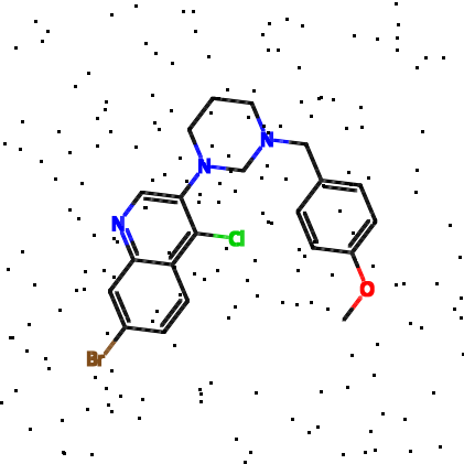 COc1ccc(CN2CCCN(c3cnc4cc(Br)ccc4c3Cl)C2)cc1